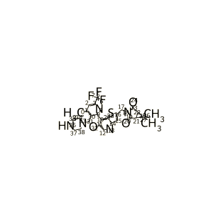 Cc1cc(C(F)(F)F)nc(-c2ccnc3cc(CN4C(=O)C5C(C4=O)C5(C)C)sc23)c1C(=O)N1CCNCC1